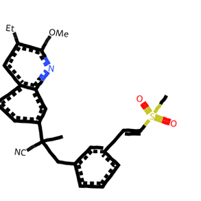 CCc1cc2ccc(C(C)(C#N)Cc3cccc(/C=C/S(C)(=O)=O)c3)cc2nc1OC